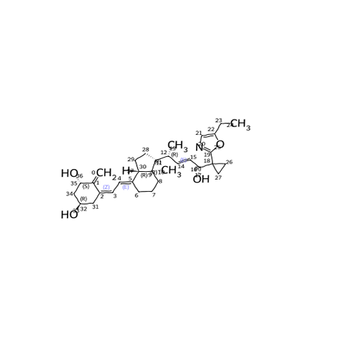 C=C1/C(=C\C=C2/CCC[C@]3(C)[C@@H]([C@H](C)/C=C/[C@@H](O)C4(c5ncc(CC)o5)CC4)CC[C@@H]23)C[C@@H](O)C[C@@H]1O